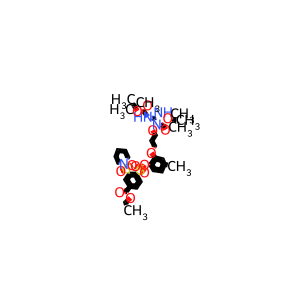 CCOC(=O)c1ccc(S(=O)(=O)Oc2ccc(C)cc2OCCCON(C(=N)NC(=O)OC(C)(C)C)C(=O)OC(C)(C)C)c(S(=O)(=O)N2CCCCC2)c1